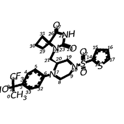 CC(O)(c1ccc(N2CCN(S(=O)(=O)c3cccs3)C[C@@H]2CN2C(=O)NC(=O)C23CCC3)cc1)C(F)(F)F